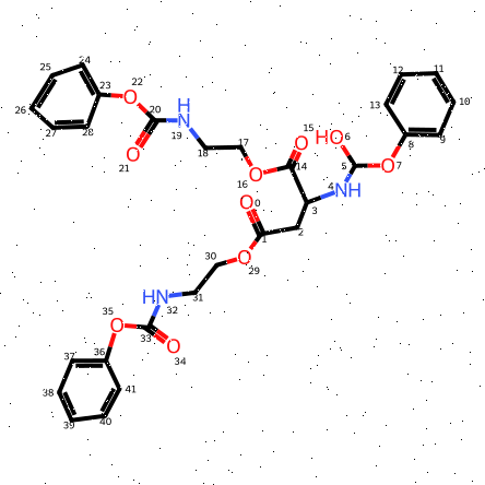 O=C(CC(NC(O)Oc1ccccc1)C(=O)OCCNC(=O)Oc1ccccc1)OCCNC(=O)Oc1ccccc1